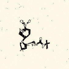 C[C@H]1C[C@H](CNC(=O)OC(C)(C)C)N(c2ccc([N+](=O)[O-])nc2)C1